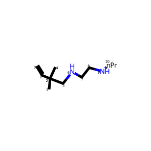 C=CC(C)(C)CNCCNCCC